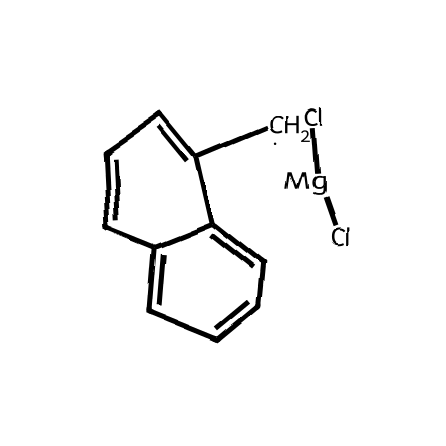 [CH2]c1cccc2ccccc12.[Cl][Mg][Cl]